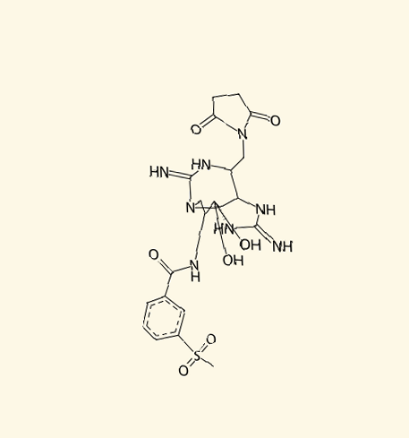 CS(=O)(=O)c1cccc(C(=O)NC2CN3C(=N)NC(CN4C(=O)CCC4=O)C4NC(=N)N[C@]43C2(O)O)c1